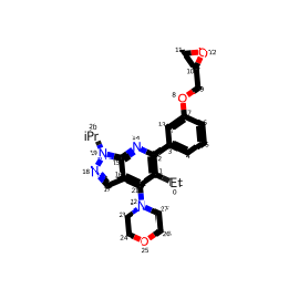 CCc1c(-c2cccc(OCC3CO3)c2)nc2c(cnn2C(C)C)c1N1CCOCC1